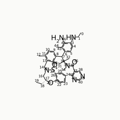 CCNc1ccc(C(c2ccc(C)c(CN3C[C@@H](CC)Oc4ccccc4[S+]3[O-])c2)C(C)(C)N(C)C(=O)c2cncnc2)c(C)c1N